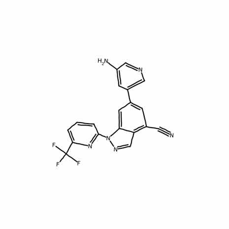 N#Cc1cc(-c2cncc(N)c2)cc2c1cnn2-c1cccc(C(F)(F)F)n1